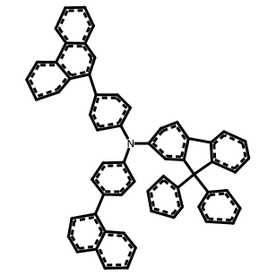 c1ccc(C2(c3ccccc3)c3ccccc3-c3ccc(N(c4ccc(-c5cccc6ccccc56)cc4)c4ccc(-c5cc6ccccc6c6ccccc56)cc4)cc32)cc1